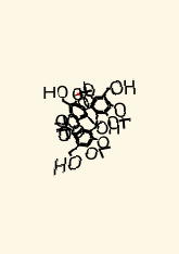 CC1(C)Oc2c(CO)c3c(c(C(O)(c4c5c(c(CO)c6c4OC(C)(C)O6)OC(C)(C)O5)c4c5c(c(CO)c6c4OC(C)(C)O6)OC(C)(C)O5)c2O1)OC(C)(C)O3